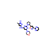 Cc1cc(Nc2cc(N3CCOCC3)nc(N3CCCC3c3cc(-c4ncccn4)no3)n2)n[nH]1